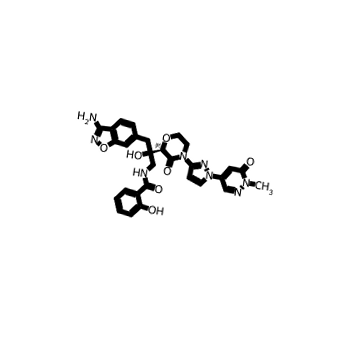 Cn1ncc(-n2ccc(N3CCO[C@H](C(O)(CNC(=O)c4ccccc4O)Cc4ccc5c(N)noc5c4)C3=O)n2)cc1=O